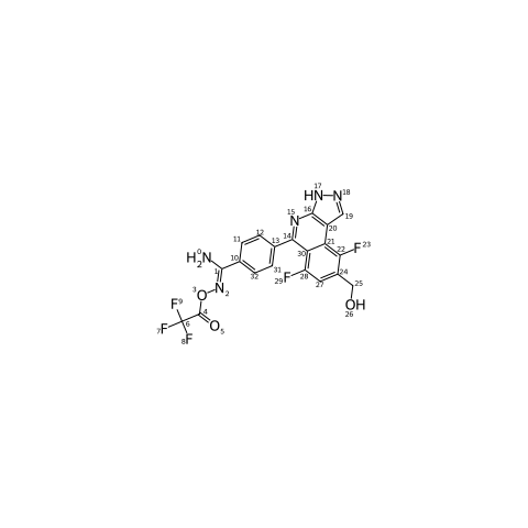 NC(=NOC(=O)C(F)(F)F)c1ccc(-c2nc3[nH]ncc3c3c(F)c(CO)cc(F)c23)cc1